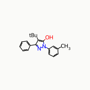 Cc1cccc(-n2nc(-c3ccccc3)c(C(C)(C)C)c2O)c1